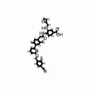 Cc1cc(CC(=O)Nc2ccc(C(=O)O)cc2NCC2CCO2)c(F)cc1-c1cccc(OCc2ccc(C#N)cc2F)n1